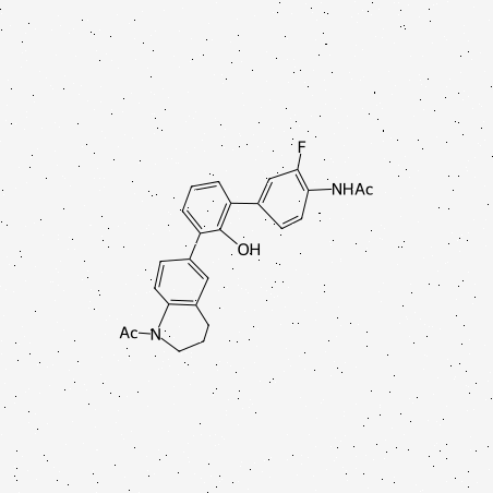 CC(=O)Nc1ccc(-c2cccc(-c3ccc4c(c3)CCCN4C(C)=O)c2O)cc1F